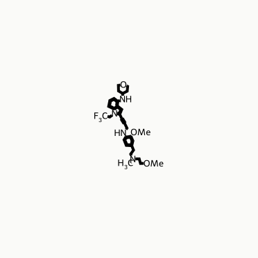 COCCN(C)CCc1ccc(NCC#Cc2cc3c(NC4CCOCC4)cccc3n2CC(F)(F)F)c(OC)c1